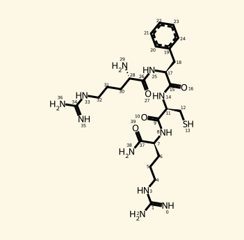 N=C(N)NCCC[C@H](NC(=O)[C@H](CS)NC(=O)[C@H](Cc1ccccc1)NC(=O)[C@@H](N)CCCNC(=N)N)C(N)=O